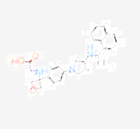 CC(N[C@H]1CCN(c2ccc(C3(NCC(=O)O)COC3)cc2)C1)c1cccc2ccccc12